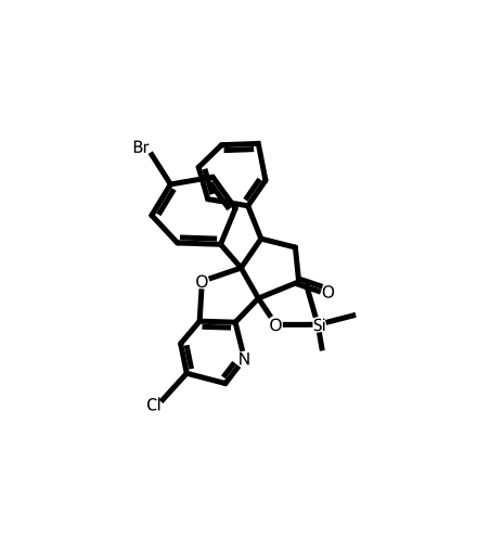 C[Si](C)(C)OC12C(=O)CC(c3ccccc3)C1(c1ccc(Br)cc1)Oc1cc(Cl)cnc12